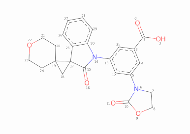 O=C(O)c1cc(N2CCOC2=O)cc(N2C(=O)C3(CC34CCOCC4)c3ccccc32)c1